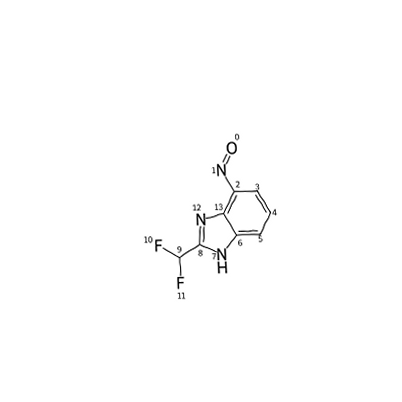 O=Nc1cccc2[nH]c(C(F)F)nc12